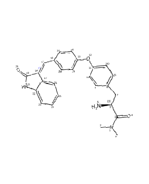 CN(C)C(=O)[C@@H](N)Cc1ccc(Oc2ccc(/C=C3/C(=O)Nc4ccccc43)cc2)cc1